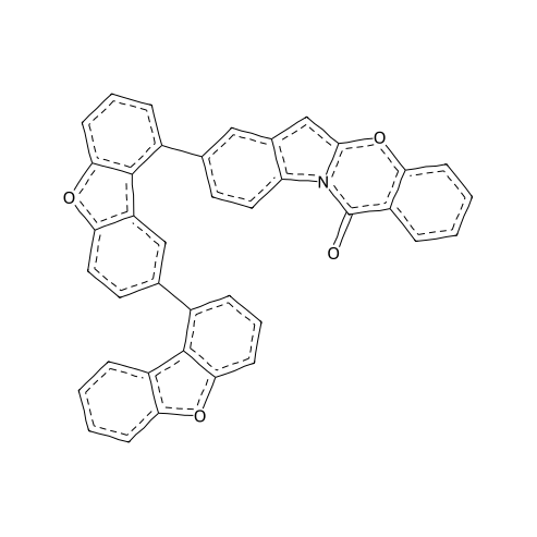 O=c1c2ccccc2oc2cc3cc(-c4cccc5oc6ccc(-c7cccc8oc9ccccc9c78)cc6c45)ccc3n12